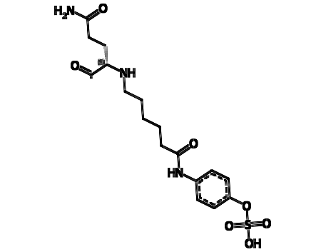 NC(=O)CC[C@@H]([C]=O)NCCCCCC(=O)Nc1ccc(OS(=O)(=O)O)cc1